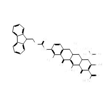 C[C@H]1c2ccc(NC(=O)OCC3c4ccccc4-c4ccccc43)c(O)c2C(=O)C2=C(O)[C@]3(O)C(=O)C(C(N)=O)=C(O)[C@@H](N(C)C)[C@@H]3[C@@H](O)[C@@H]21